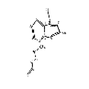 C=COCCOc1cccc2c(C)cccc12